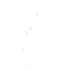 CC(C)(C)OC(=O)N[C@@](C)(Cc1ccccc1)c1nnc(-c2cc(C(=O)O)cc(C3(C#N)CCCC3)c2)o1